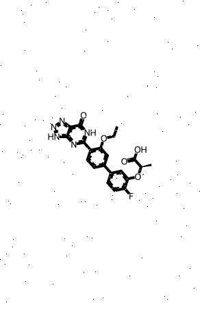 CCOc1cc(-c2ccc(F)c(O[C@H](C)C(=O)O)c2)ccc1-c1nc2[nH]nnc2c(=O)[nH]1